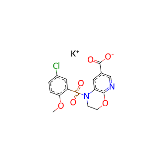 COc1ccc(Cl)cc1S(=O)(=O)N1CCOc2ncc(C(=O)[O-])cc21.[K+]